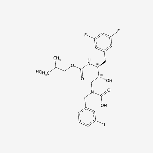 CC(C)COC(=O)N[C@@H](Cc1cc(F)cc(F)c1)[C@H](O)CN(Cc1cccc(I)c1)C(=O)O.Cl